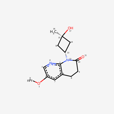 CCCOc1cnc2c(c1)CCC(=O)N2[C@H]1C[C@](C)(O)C1